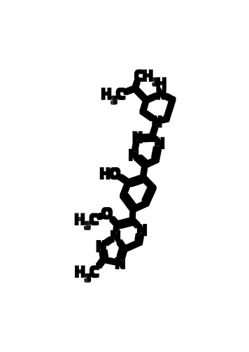 COc1c(-c2ccc(-c3cnc(N4CCNC(C(C)C)C4)nn3)c(O)c2)ncc2nc(C)nn12